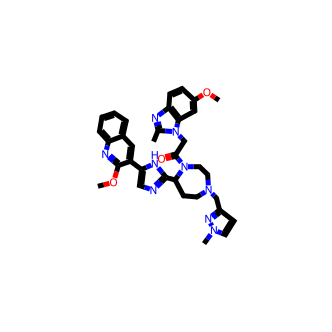 COc1ccc2nc(C)n(CC(=O)N3CCN(Cc4ccn(C)n4)CCC3c3ncc(-c4cc5ccccc5nc4OC)[nH]3)c2c1